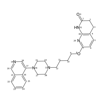 O=C1CCc2ccc(OCCCCN3CCN(c4cncc5ccccc45)CC3)nc2N1